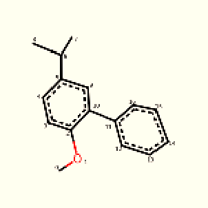 COc1ccc(C(C)C)cc1-c1ccccc1